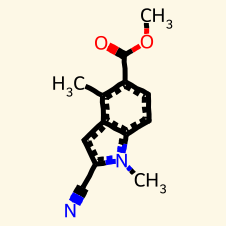 COC(=O)c1ccc2c(cc(C#N)n2C)c1C